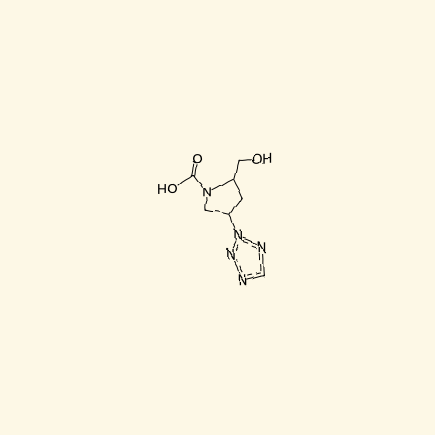 O=C(O)N1CC(n2ncnn2)CC1CO